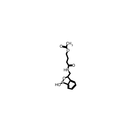 CC(=O)OCCCC(=O)NCC1OB(O)c2ccccc21